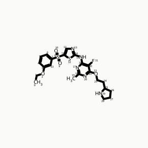 CCOc1cccc(S(=O)(=O)c2cnc(Nc3nc(C)nc(OCCC4CCCN4)c3F)s2)c1